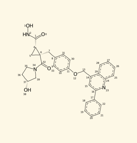 O=C(NO)[C@H]1C[C@]1(Cc1ccc(OCc2cc(-c3ccccc3)nc3ccccc23)cc1)C(=O)N1CC[C@@H](O)C1